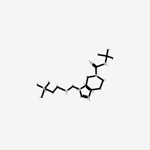 CC(C)(C)OC(=O)N1CCc2ncn(COCC[Si](C)(C)C)c2C1